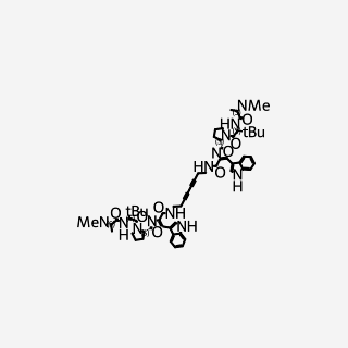 CN[C@@H](C)C(=O)N[C@H](C(=O)N1CCC[C@H]1c1nc(C(=O)NCCC#CC#CCCNC(=O)c2nc([C@@H]3CCCN3C(=O)[C@@H](NC(=O)[C@H](C)NC)C(C)(C)C)oc2-c2c[nH]c3ccccc23)c(-c2c[nH]c3ccccc23)o1)C(C)(C)C